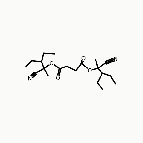 CCC(CC)C(C)(C#N)OC(=O)CCC(=O)OC(C)(C#N)C(CC)CC